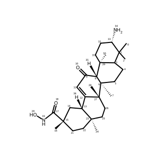 CC1(C)C2CC[C@]3(C)[C@H](C(=O)C=C4[C@H]5C[C@@](C)(C(=O)NO)CC[C@]5(C)CC[C@]43C)[C@@]2(C)CC[C@@H]1N